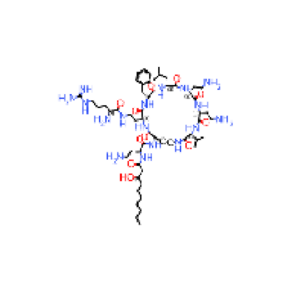 CCCCCCC[C@@H](O)CC(=O)N[C@H](CCN)C(=O)N[C@H]1CCNC(=O)[C@H](C(C)C)NC(=O)[C@H](CCN)NC(=O)[C@H](CCN)NC(=O)[C@H](CC(C)C)NC(=O)[C@@H](Cc2ccccc2)NC(=O)[C@H](CCNC(=O)[C@@H](N)CCCNC(=N)N)NC1=O